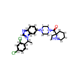 CCC1(C(=O)N2CCN(c3ccc4ncn(C(C)c5ccc(Cl)cc5Cl)c4c3)CC2)CCCCN1